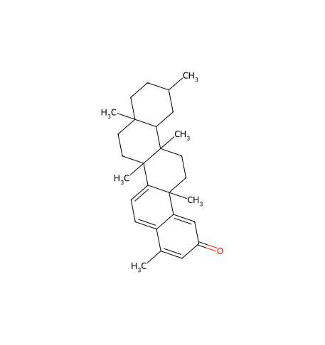 CC1=CC(=O)C=C2C1=CC=C1C2(C)CCC2(C)C3CC(C)CCC3(C)CCC12C